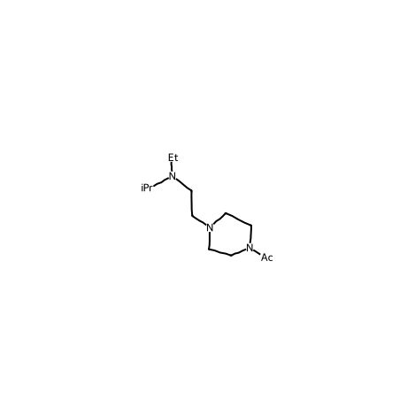 CCN(CCN1CCN(C(C)=O)CC1)C(C)C